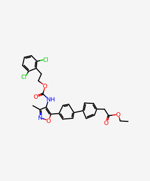 CCOC(=O)Cc1ccc(-c2ccc(-c3onc(C)c3NC(=O)OCCc3c(Cl)cccc3Cl)cc2)cc1